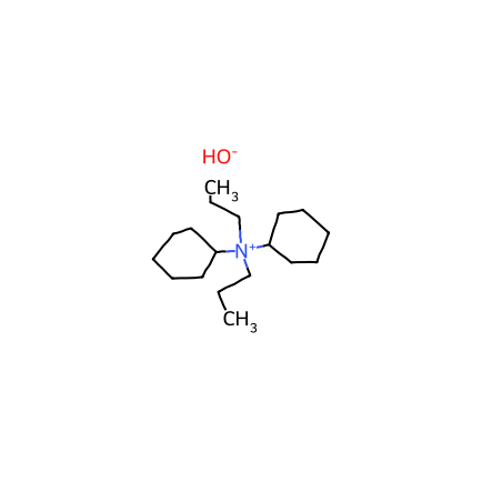 CCC[N+](CCC)(C1CCCCC1)C1CCCCC1.[OH-]